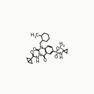 CC1CCCCC1Cn1c(=O)n(NC(=O)C23CC2C3)c(=O)c2cc(S(=O)(=O)NC3(C)CC3)ccc21